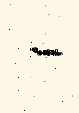 O=C(NO)C1=CCN(S(=O)(=O)c2ccc(-c3cnn(C4CCNCC4)c3)cc2)CC1